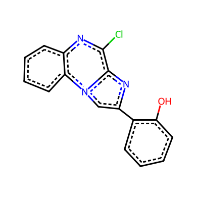 Oc1ccccc1-c1cn2c(n1)c(Cl)nc1ccccc12